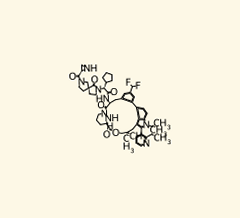 CCn1c(-c2cccnc2C(C)C)c2c3cc(ccc31)-c1cc(cc(C(F)F)c1)C[C@H](NC(=O)[C@H](C1CCCC1)N1CC[C@]3(CCN(C(=O)[C@H]4CN4)C3)C1=O)C(=O)N1CCC[C@H](N1)C(=O)OCC(C)(C)C2